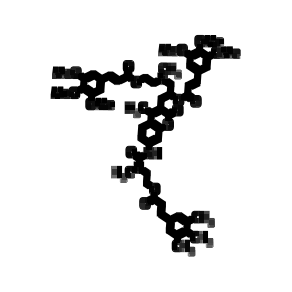 COc1cc(/C=C/C(=O)OCCN(C)CC(Cc2c(C)c3ccc(NC(=O)N(C)CCOC(=O)/C=C/c4cc(C)c(C)c(C)c4)cc3oc2=O)OC(=O)/C=C/c2cc(OC)c(OC)c(OC)c2)cc(OC)c1OC